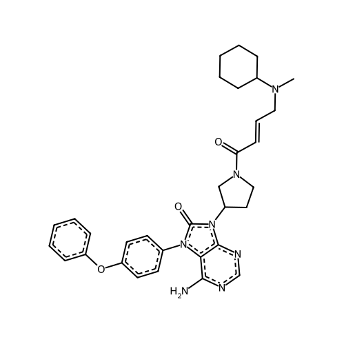 CN(C/C=C/C(=O)N1CCC(n2c(=O)n(-c3ccc(Oc4ccccc4)cc3)c3c(N)ncnc32)C1)C1CCCCC1